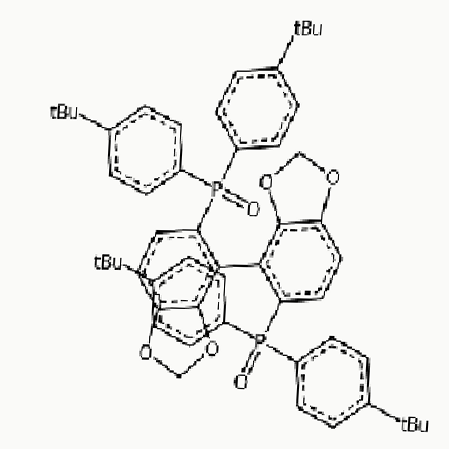 CC(C)(C)c1ccc(P(=O)(c2ccc(C(C)(C)C)cc2)c2ccc3c(c2-c2c(P(=O)(c4ccc(C(C)(C)C)cc4)c4ccc(C(C)(C)C)cc4)ccc4c2OCO4)OCO3)cc1